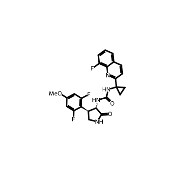 COc1cc(F)c([C@@H]2CNC(=O)[C@H]2NC(=O)NC2(c3ccc4cccc(F)c4n3)CC2)c(F)c1